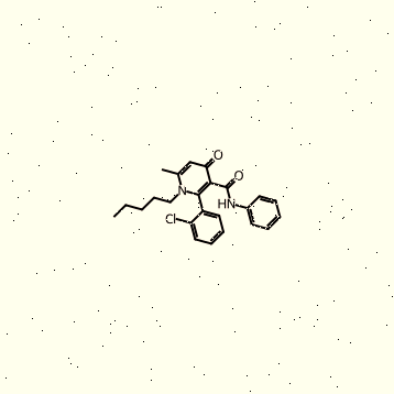 CCCCCn1c(C)cc(=O)c(C(=O)Nc2ccccc2)c1-c1ccccc1Cl